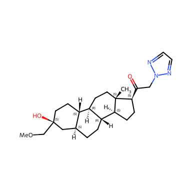 COC[C@]1(O)CC[C@H]2[C@@H](CC[C@@H]3[C@@H]2CC[C@]2(C)[C@@H](C(=O)Cn4nccn4)CC[C@@H]32)C1